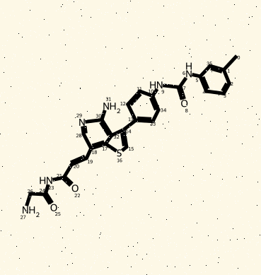 Cc1cccc(NC(=O)Nc2ccc(-c3csc4c(C=CC(=O)NC(=O)CN)cnc(N)c34)cc2)c1